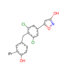 CC(C)c1cc(Cc2c(Cl)cc(-c3cc(O)no3)cc2Cl)ccc1O